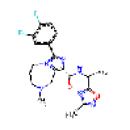 Cc1noc(C(NC(=O)c2nc(-c3ccc(F)c(F)c3)n3c2CN(C)CCC3)C(C)(C)C)n1